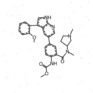 COC(=O)Nc1ccc(-c2cnc3[nH]cc(-c4ccccc4OC)c3c2)cc1C(=O)N(C)C1CCN(C)C1